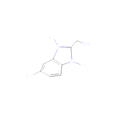 CCN1c2cc(C(F)(F)F)ccc2N(C)C1CN